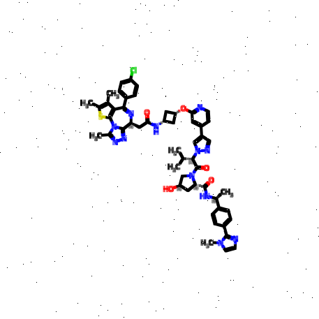 Cc1sc2c(c1C)C(c1ccc(Cl)cc1)=N[C@@H](CC(=O)N[C@H]1C[C@@H](Oc3cc(-c4cnn([C@H](C(=O)N5C[C@H](O)C[C@H]5C(=O)N[C@@H](C)c5ccc(-c6nccn6C)cc5)C(C)C)c4)ccn3)C1)c1nnc(C)n1-2